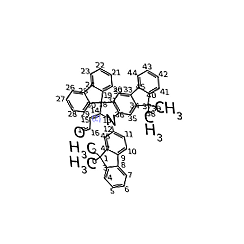 CC1(C)c2ccccc2-c2ccc(N3/C(=C\C=O)C4(c5ccccc5-c5ccccc54)c4cc5c(cc43)C(C)(C)c3ccccc3-5)cc21